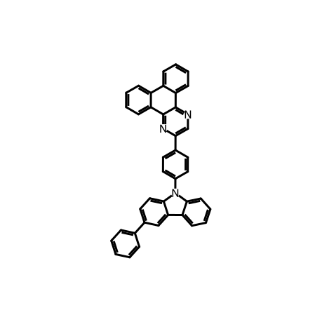 c1ccc(-c2ccc3c(c2)c2ccccc2n3-c2ccc(-c3cnc4c5ccccc5c5ccccc5c4n3)cc2)cc1